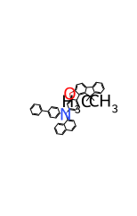 CC1(C)c2ccccc2-c2ccc3oc4cc(N(c5ccc(-c6ccccc6)cc5)c5cccc6ccccc56)ccc4c3c21